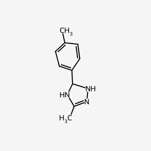 CC1=NNC(c2ccc(C)cc2)N1